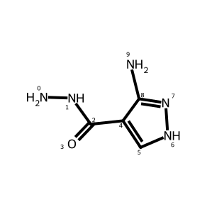 NNC(=O)c1c[nH]nc1N